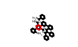 N=C(OC(N)c1ccccc1)c1ccccc1-c1cccc(-c2ccccc2-c2nc(-c3cccc(-c4ccccc4N)c3)nc(-c3ccccc3)c2-c2ccccc2)c1